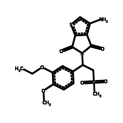 CCOc1cc(C(CS(C)(=O)=O)N2C(=O)c3scc(N)c3C2=O)ccc1OC